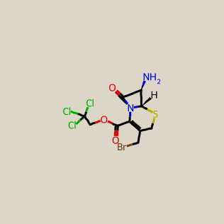 N[C@@H]1C(=O)N2C(C(=O)OCC(Cl)(Cl)Cl)=C(CBr)CS[C@@H]12